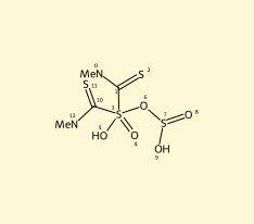 CNC(=S)S(=O)(O)(OS(=O)O)C(=S)NC